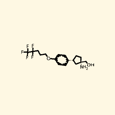 N[C@@]1(CO)CC[C@@H](c2ccc(OCCCC(F)(F)C(F)(F)F)cc2)C1